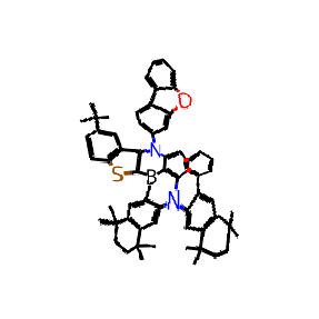 Cc1cc2c3c(c1)N(c1ccc4c(c1)oc1ccccc14)C1c4cc(C(C)(C)C)ccc4SC1B3c1cc3c(cc1N2c1cc2c(cc1-c1ccccc1)C(C)(C)CCC2(C)C)C(C)(C)CCC3(C)C